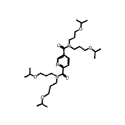 CC(C)OCCCN(CCCOC(C)C)C(=O)c1ccc(C(=O)N(CCCOC(C)C)CCCOC(C)C)nc1